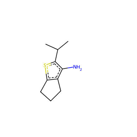 CC(C)c1sc2c(c1N)CCC2